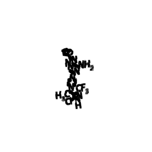 CC(c1c(C(F)(F)F)n[nH]c1Cl)N1CCN(c2cn3nc(-c4ccco4)nc3c(N)n2)CC1